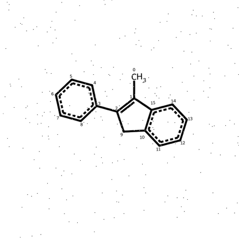 CC1=C(c2ccccc2)Cc2ccccc21